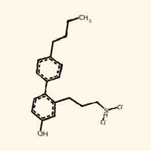 CCCCc1ccc(-c2ccc(O)cc2CCC[SiH](Cl)Cl)cc1